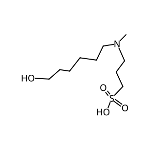 CN(CCCCCCO)CCCS(=O)(=O)O